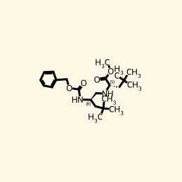 COC(=O)[C@H](CC(C)(C)C)NC[C@@H](CC(C)(C)C)NC(=O)OCc1ccccc1